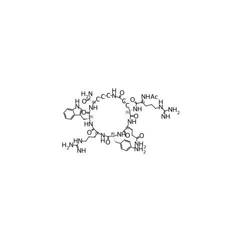 CC(=O)N[C@@H](CCCNC(=N)N)C(=O)N[C@H]1CCC(=O)NCCC[C@@H](C(N)=O)NC(=O)[C@H](Cc2c[nH]c3ccccc23)NC(=O)[C@H](CCCNC(=N)N)NC(=O)[C@@H](Cc2ccc(N)cc2)NC(=O)[C@H](CCC(N)=O)NC1=O